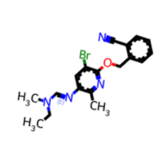 CCN(C)/C=N/c1cc(Br)c(OCc2ccccc2C#N)nc1C